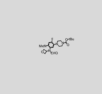 CNc1cc(F)c(N2CCN(C(=O)OC(C)(C)C)CC2)cc1N(C=O)C1COC1